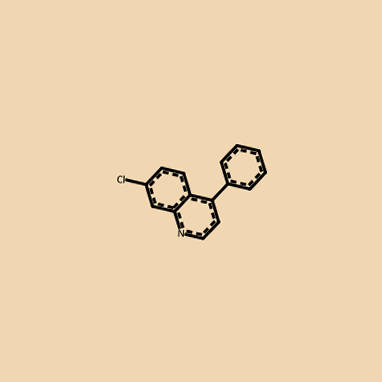 Clc1ccc2c(-c3ccccc3)ccnc2c1